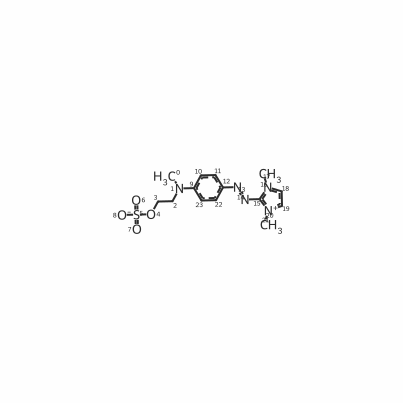 CN(CCOS(=O)(=O)[O-])c1ccc(N=Nc2n(C)cc[n+]2C)cc1